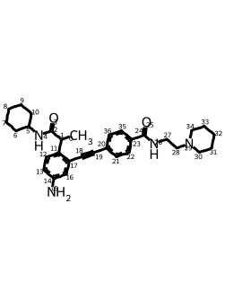 CC(C(=O)NC1CCCCC1)c1ccc(N)cc1C#Cc1ccc(C(=O)NCCN2CCCCC2)cc1